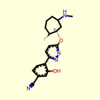 CNC1CCCC(F)[C@@H](Oc2ccc(-c3ccc(C#N)cc3O)nn2)C1